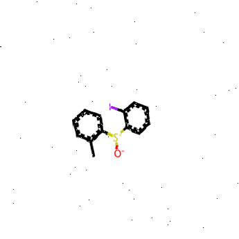 Cc1ccccc1[S+]([O-])c1ccccc1I